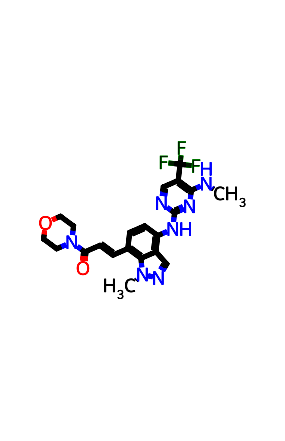 CNc1nc(Nc2ccc(/C=C/C(=O)N3CCOCC3)c3c2cnn3C)ncc1C(F)(F)F